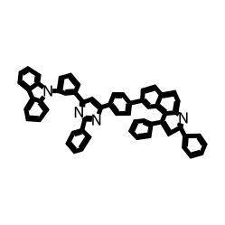 c1ccc(-c2cc(-c3ccccc3)c3c(ccc4ccc(-c5ccc(-c6cc(-c7cccc(-n8c9ccccc9c9ccccc98)c7)nc(-c7ccccc7)n6)cc5)cc43)n2)cc1